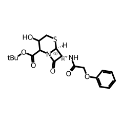 CC(C)(C)OC(=O)C1C(O)CS[C@H]2[C@H](NC(=O)COc3ccccc3)C(=O)N12